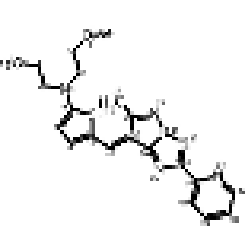 COCCN(CCOC)c1ccc(C=c2c(C)nn3nc(-c4ccccn4)nc23)s1